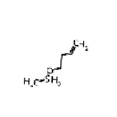 C=CCCO[SiH2]C